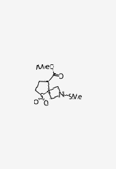 COC(=O)C1CCS(=O)(=O)C12CN(SC)C2